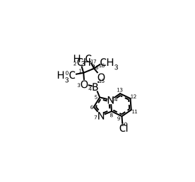 CC1(C)OB(c2cnc3c(Cl)cccn23)OC1(C)C